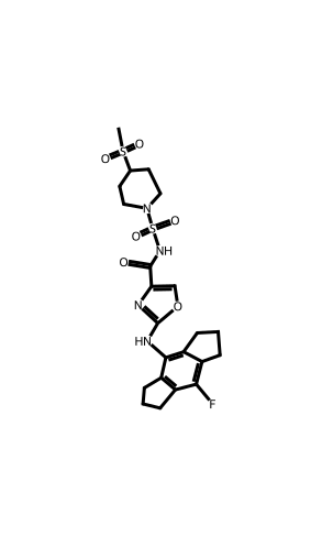 CS(=O)(=O)C1CCN(S(=O)(=O)NC(=O)c2coc(Nc3c4c(c(F)c5c3CCC5)CCC4)n2)CC1